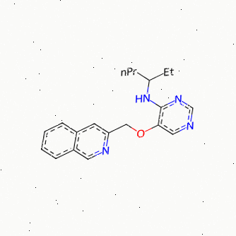 CCCC(CC)Nc1ncncc1OCc1cc2ccccc2cn1